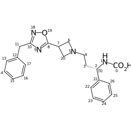 O=C(O)N[C@@H](CCN1CC(c2nc(Cc3ccccc3)no2)C1)c1ccccc1